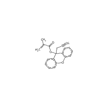 C#CCC1(OC(=O)C(=C)C)c2ccccc2Oc2ccccc21